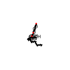 CCCOCCOCCOCCCNC(=O)C(CCC(=O)O)NC(=O)C1CCCN1C(=O)CC(C)CCCC(C)CCCC(C)CCCC(C)C